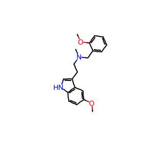 COc1ccc2[nH]cc(CCN(C)Cc3ccccc3OC)c2c1